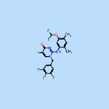 Cc1cc(C)c(OC(F)F)cc1Nc1nc(=O)c(F)cn1Cc1cc(F)c(F)c(F)c1